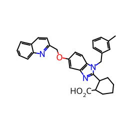 Cc1cccc(Cn2c(C3CCCCC3C(=O)O)nc3cc(OCc4ccc5ccccc5n4)ccc32)c1